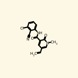 C=Cc1cc(C(=O)Nc2cccc(Cl)c2C#N)c(=O)n(C)c1